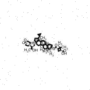 C[C@H](O)[C@H](CN[C@]12CCC(C3(C)CC3)[C@@H]1[C@H]1CC[C@@H]3[C@@]4(C)CC[C@H](OC(=O)[C@H]5C[C@@H](C(=O)O)C5(C)C)C(C)(C)[C@@H]4CC[C@@]3(C)[C@]1(C)CC2)N1CCS(=O)(=O)CC1